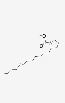 CCCCCCCCCCCCC1CCCN1C(=O)OC